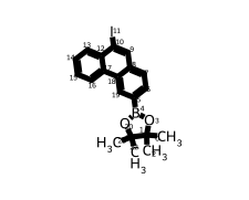 CC1(C)OB(c2ccc3cc(I)c4ccccc4c3c2)OC1(C)C